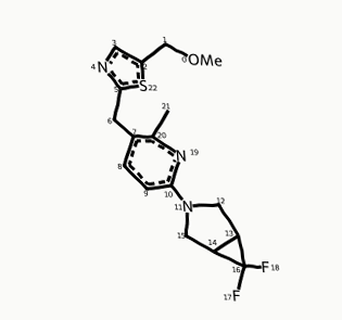 COCc1cnc(Cc2ccc(N3CC4C(C3)C4(F)F)nc2C)s1